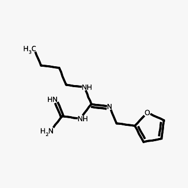 CCCCNC(=NCc1ccco1)NC(=N)N